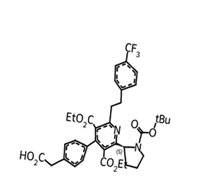 CCOC(=O)c1c(CCc2ccc(C(F)(F)F)cc2)nc([C@@H]2CCCN2C(=O)OC(C)(C)C)c(C(=O)OCC)c1-c1ccc(CC(=O)O)cc1